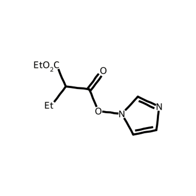 CCOC(=O)C(CC)C(=O)On1ccnc1